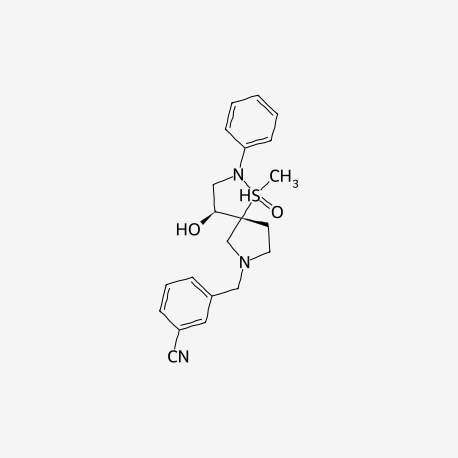 C[SH]1(=O)N(c2ccccc2)C[C@H](O)[C@]12CCN(Cc1cccc(C#N)c1)C2